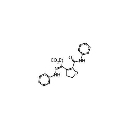 CCOC(=O)C(=NNc1ccccc1)C1=C(C(=O)Nc2ccccc2)OCC1